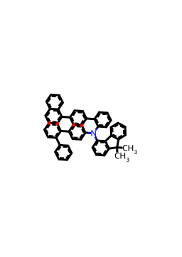 CC1(C)c2ccccc2-c2c(N(c3ccc(-c4ccccc4-c4ccccc4)cc3)c3ccccc3-c3ccc(-c4cccc5ccccc45)cc3)cccc21